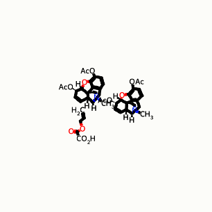 C=CCOC(=O)C(=O)O.CC(=O)Oc1ccc2c3c1O[C@H]1[C@@H](OC(C)=O)C=C[C@H]4[C@@H](C2)N(C)CC[C@@]341.CC(=O)Oc1ccc2c3c1O[C@H]1[C@@H](OC(C)=O)C=C[C@H]4[C@@H](C2)N(C)CC[C@@]341